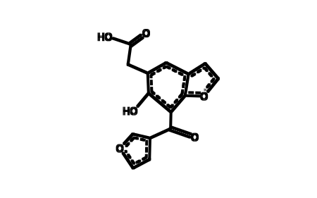 O=C(O)Cc1cc2ccoc2c(C(=O)c2ccoc2)c1O